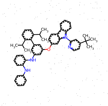 CC(C)c1cccc(C(C)C)c1-c1cc(Nc2ccccc2Nc2ccccc2)cc(Oc2ccc3c4ccccc4n(-c4cc(C(C)(C)C)ccn4)c3c2)c1